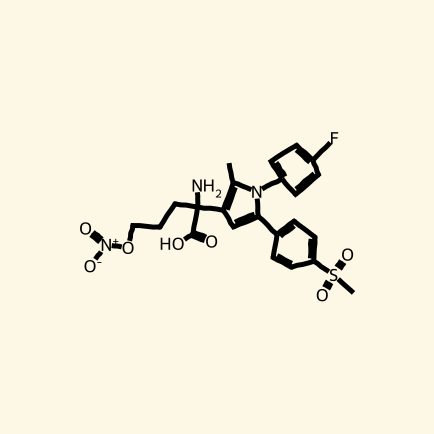 Cc1c(C(N)(CCCO[N+](=O)[O-])C(=O)O)cc(-c2ccc(S(C)(=O)=O)cc2)n1-c1ccc(F)cc1